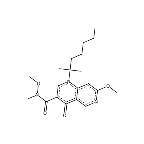 CCCCCC(C)(C)n1cc(C(=O)N(C)OC)c(=O)c2cnc(OC)cc21